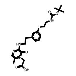 Cc1cnc(NCCc2cccc(OCCNC(=O)OC(C)(C)C)c2)c(=O)n1CC(=O)O